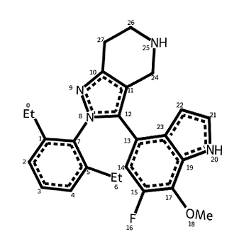 CCc1cccc(CC)c1-n1nc2c(c1-c1cc(F)c(OC)c3[nH]ccc13)CNCC2